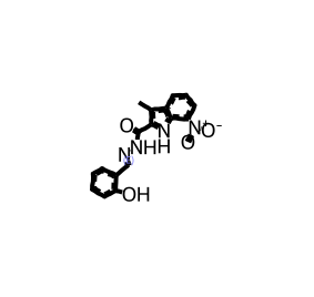 Cc1c(C(=O)N/N=C/c2ccccc2O)[nH]c2c([N+](=O)[O-])cccc12